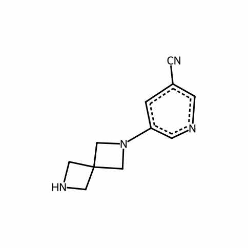 N#Cc1cncc(N2CC3(CNC3)C2)c1